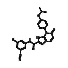 CC(C)Oc1ccc(-n2c(=O)ccc3cc(C(=O)Nc4cc(F)cc(C#N)c4)[nH]c32)cc1